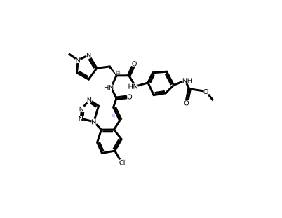 COC(=O)Nc1ccc(NC(=O)[C@H](Cc2ccn(C)n2)NC(=O)/C=C/c2cc(Cl)ccc2-n2cnnn2)cc1